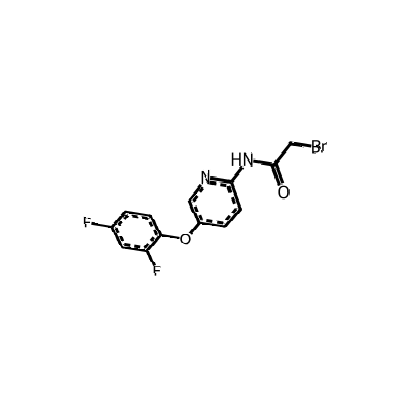 O=C(CBr)Nc1ccc(Oc2ccc(F)cc2F)cn1